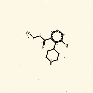 CCOC(=O)c1cncc(Cl)c1N1CCNCC1